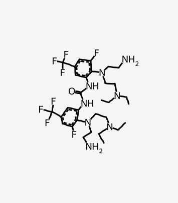 CCN(CC)CCN(CCN)c1c(F)cc(C(F)(F)F)cc1NC(=O)Nc1cc(C(F)(F)F)cc(F)c1N(CCN)CCN(CC)CC